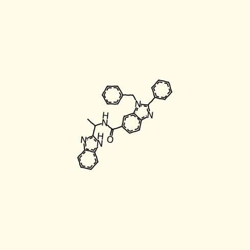 CC(NC(=O)c1ccc2nc(-c3ccccc3)n(Cc3ccccc3)c2c1)c1nc2ccccc2[nH]1